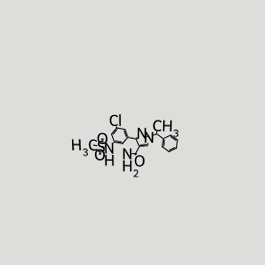 CC(c1ccccc1)n1cc(C(N)=O)c(-c2cc(Cl)cc(NS(C)(=O)=O)c2)n1